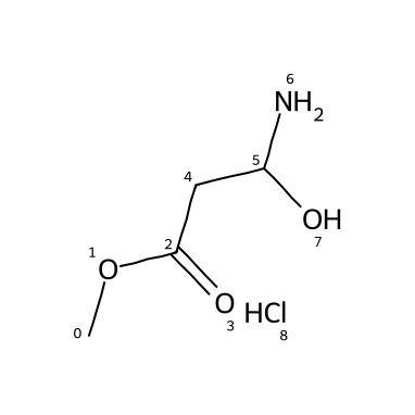 COC(=O)CC(N)O.Cl